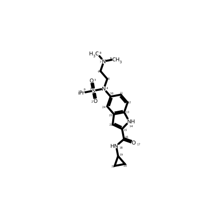 CC(C)S(=O)(=O)N(CCN(C)C)c1ccc2[nH]c(C(=O)NC3CC3)cc2c1